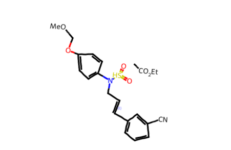 CCOC(C)=O.COCOc1ccc(N(C/C=C/c2cccc(C#N)c2)[SH](=O)=O)cc1